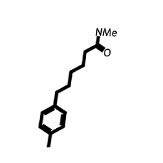 CNC(=O)CCCCCc1ccc(C)cc1